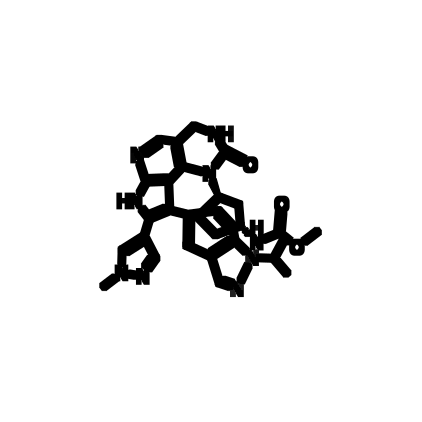 COC(=O)N[C@@H]1CC[C@@H](N2C(=O)NCc3cnc4[nH]c(-c5cnn(C)c5)c(-c5ccc6c(cnn6C(C)C)c5)c4c32)C1